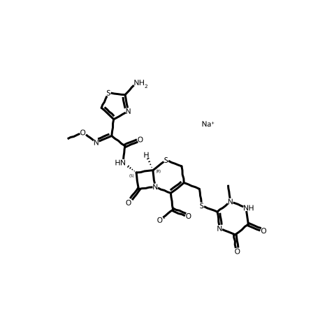 CON=C(C(=O)N[C@H]1C(=O)N2C(C(=O)[O-])=C(CSc3nc(=O)c(=O)[nH]n3C)CS[C@H]12)c1csc(N)n1.[Na+]